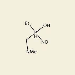 CC[PH](O)(CNC)N=O